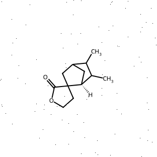 CC1C2C[C@@H](C1C)C1(CCOC1=O)C2